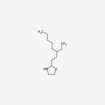 CCCCCC(CC)CCC1NCCO1